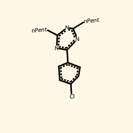 CCCCCc1nc(CCCCC)nc(-c2ccc(Cl)cc2)n1